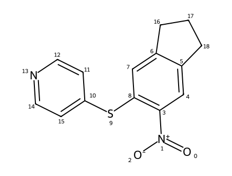 O=[N+]([O-])c1cc2c(cc1Sc1ccncc1)CCC2